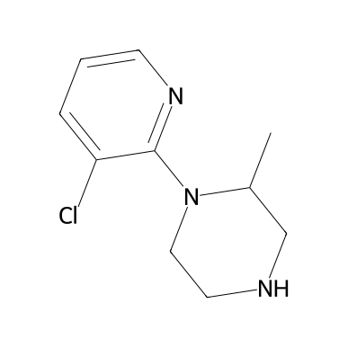 CC1CNCCN1c1ncccc1Cl